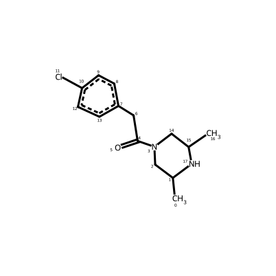 CC1CN(C(=O)Cc2ccc(Cl)cc2)CC(C)N1